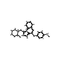 COc1ccc(Cc2cc3ccccc3n3c(CN4CCCCC4C)nnc23)cc1